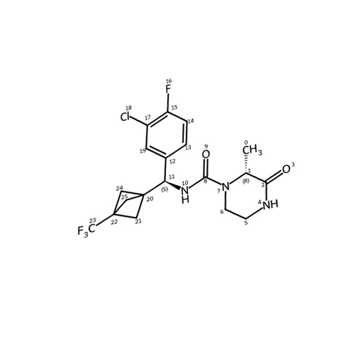 C[C@@H]1C(=O)NCCN1C(=O)N[C@H](c1ccc(F)c(Cl)c1)C12CC(C(F)(F)F)(C1)C2